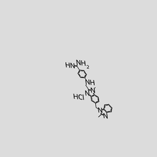 Cc1nc2ccccc2n1Cc1ccc2c(c1)nc(CNc1ccc(C(=N)N)cc1)n2C.Cl